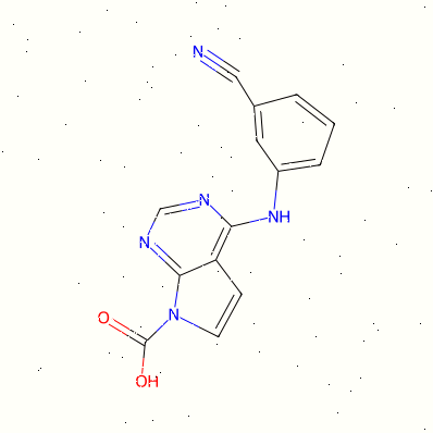 N#Cc1cccc(Nc2ncnc3c2ccn3C(=O)O)c1